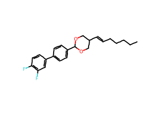 CCCCCC=CC1COC(c2ccc(-c3ccc(F)c(F)c3)cc2)OC1